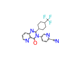 N#Cc1ccc(-n2c(C3CCC(C(F)(F)F)CC3)nc3cccnc3c2=O)cn1